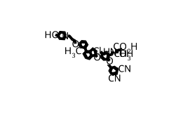 Cc1c(OCCCN2CCC(O)CC2)cccc1-c1cccc2c1CCC2Oc1cc(OCc2cc(C#N)cc(C#N)c2)c(CNC(C)(CO)C(=O)O)cc1Cl